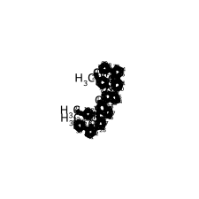 CC(C)c1ccc(N(c2cc3oc4cc(N(c5ccc(C(C)C)cc5)c5cccc6c5oc5c(-c7ccccc7)cccc56)c5ccccc5c4c3c3ccccc23)c2cccc3c2oc2c(-c4ccccc4)cccc23)cc1